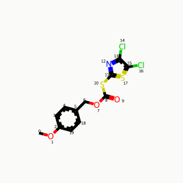 COc1ccc(COC(=O)Sc2nc(Cl)c(Cl)s2)cc1